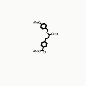 COC(=O)c1ccc(CCC(C=O)SCc2ccc(OC)cc2)cc1